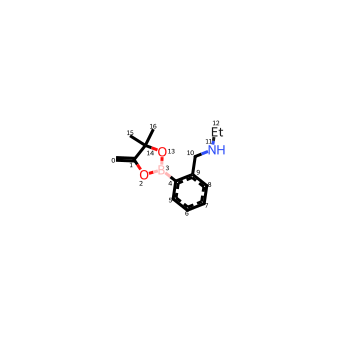 C=C1OB(c2ccccc2CNCC)OC1(C)C